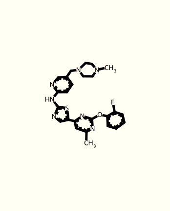 Cc1cc(-c2cnc(Nc3ccc(CN4CCN(C)CC4)cn3)s2)nc(Oc2ccccc2F)n1